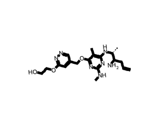 C=CCC(N)[C@@H](C)Nc1nc(NC)nc(OCc2cnnc(OCCO)c2)c1C